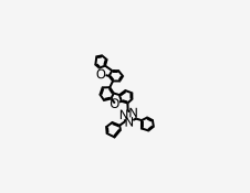 c1ccc(-c2nc(-c3ccccc3)nc(-c3cccc4c3oc3cccc(-c5cccc6c5oc5ccccc56)c34)n2)cc1